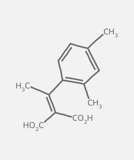 CC(=C(C(=O)O)C(=O)O)c1ccc(C)cc1C